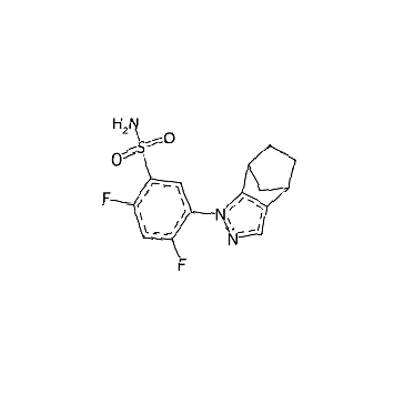 NS(=O)(=O)c1cc(-n2ncc3c2C2CCC3C2)c(F)cc1F